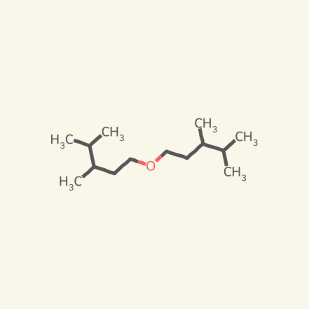 CC(C)C(C)CCOCCC(C)C(C)C